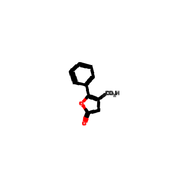 O=C1CC(C(=O)O)=C(c2ccccc2)O1